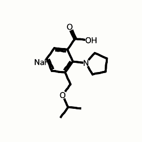 CC(C)OCc1cccc(C(=O)O)c1N1CCCC1.[NaH]